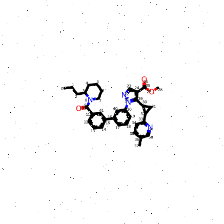 CCCC1CCCCN1C(=O)c1cccc(-c2cccc(-n3ncc(C(=O)OC)c3C3CC3c3ccc(C)cn3)c2)c1